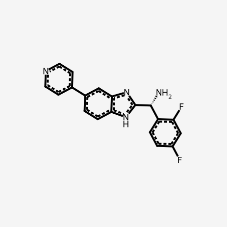 N[C@@H](c1nc2cc(-c3ccncc3)ccc2[nH]1)c1ccc(F)cc1F